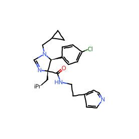 CC(C)C[C@@]1(C(=O)NCCc2ccncc2)N=CN(CC2CC2)[C@H]1c1ccc(Cl)cc1